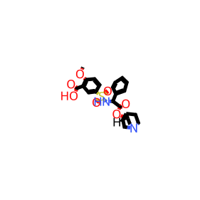 COc1ccc(S(=O)(=O)NC(C(=O)O[C@H]2CN3CCC2CC3)c2ccccc2)cc1C(=O)O